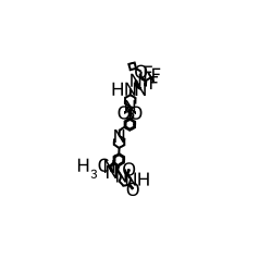 Cn1nc(N2CCC(=O)NC2=O)c2ccc(C3CCN(Cc4cccc(S(=O)(=O)N5CCC(Nc6ncc(C(F)(F)F)c(OC7CCC7)n6)CC5)c4)CC3)cc21